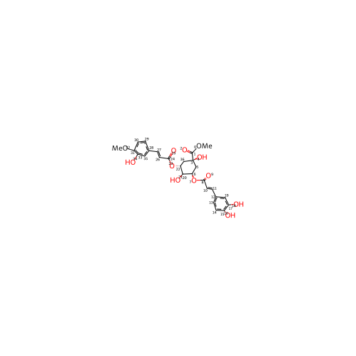 COC(=O)[C@]1(O)C[C@@H](OC(=O)/C=C/c2ccc(O)c(O)c2)[C@@H](O)[C@H](OC(=O)/C=C/c2ccc(OC)c(O)c2)C1